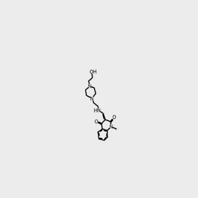 CN1C(=O)/C(=C/NCCN2CCN(CCO)CC2)C(=O)c2ccccc21